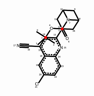 CC(C)(C)OC(=O)N1C2CC1CN(c1cc(C#N)c3cc(Cl)ccc3n1)C2